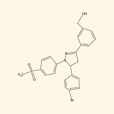 CS(=O)(=O)c1ccc(N2N=C(c3cccc(CO)c3)CC2c2ccc(Br)cc2)cc1